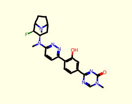 CN1C2CCC1[C@H](F)[C@H](N(C)c1ccc(-c3ccc(-c4ncn(C)c(=O)n4)cc3O)nn1)C2